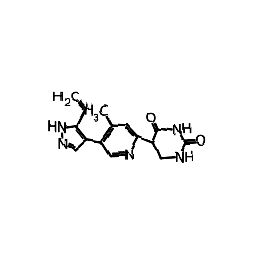 C=Cc1[nH]ncc1-c1cnc(C2CNC(=O)NC2=O)cc1C